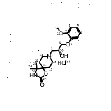 COc1ccccc1OCC(O)CN1CCC2(CC1)OC(=O)NC2(C)C.Cl